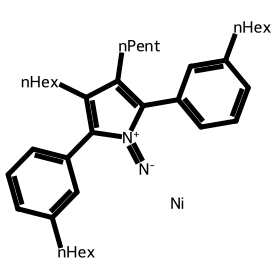 CCCCCCC1=C(c2cccc(CCCCCC)c2)[N+](=[N-])C(c2cccc(CCCCCC)c2)=C1CCCCC.[Ni]